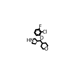 Fc1cccc(O[C@@H](C2CCOCC2)[C@H]2CCNC2)c1Cl